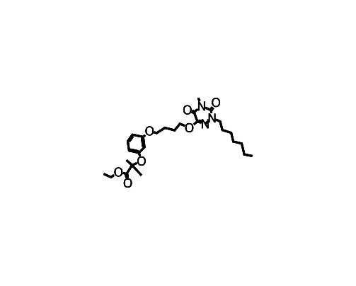 CCCCCCCn1nc(OCCCCOc2cccc(OC(C)(C)C(=O)OCC)c2)c(=O)n(C)c1=O